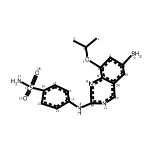 Bc1cc(OC(C)C)c2nc(Nc3ccc(S(N)(=O)=O)cc3)ncc2c1